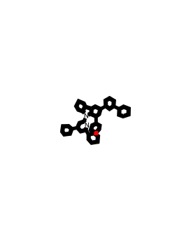 c1ccc(-c2cccc(-c3cc(-c4ccccc4)c4c(c3)c3ccccc3n4-c3cc(-c4ccccc4)cc(-c4ccccc4)n3)c2)cc1